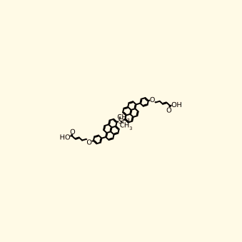 C[Si](C)(c1ccc2ccc3c(-c4ccc(OCCC=CC(=O)O)cc4)ccc4ccc1c2c43)c1ccc2ccc3c(-c4ccc(OCCC=CC(=O)O)cc4)ccc4ccc1c2c43